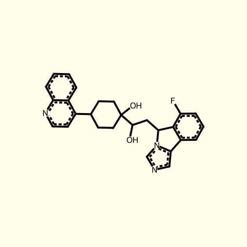 OC(CC1c2c(F)cccc2-c2cncn21)C1(O)CCC(c2ccnc3ccccc23)CC1